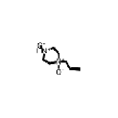 C=CC[N+]1([O-])CC[NH+]([O-])CC1